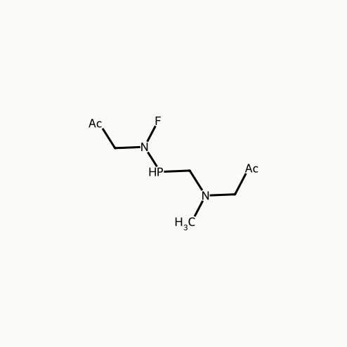 CC(=O)CN(C)CPN(F)CC(C)=O